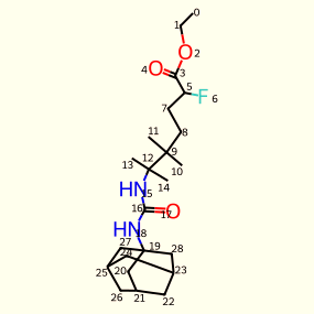 CCOC(=O)C(F)CCC(C)(C)C(C)(C)NC(=O)NC12CC3CC(CC(C3)C1)C2